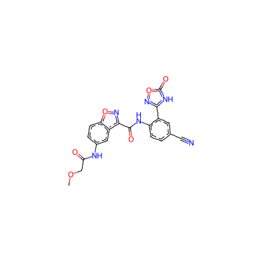 COCC(=O)Nc1ccc2onc(C(=O)Nc3ccc(C#N)cc3-c3noc(=O)[nH]3)c2c1